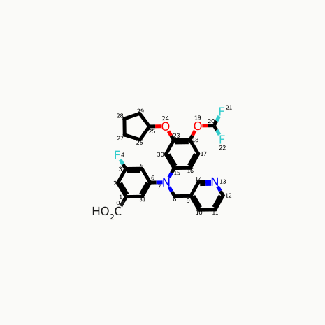 O=C(O)c1cc(F)cc(N(Cc2cccnc2)c2ccc(OC(F)F)c(OC3CCCC3)c2)c1